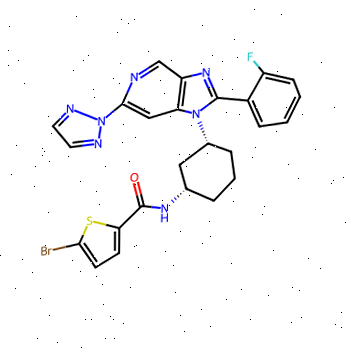 O=C(N[C@H]1CCC[C@@H](n2c(-c3ccccc3F)nc3cnc(-n4nccn4)cc32)C1)c1ccc(Br)s1